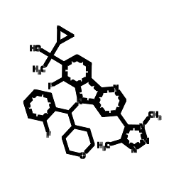 Cc1nnn(C)c1-c1cnc2c3ccc(C(C)(O)C4CC4)c(F)c3n(C(c3ccccc3F)C3CCOCC3)c2c1